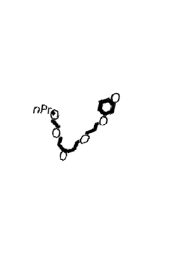 CCCOCCOCCC1OC1CCOCCCOC1CCC2OC2C1